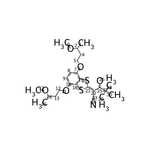 COC(C)CCOc1ccc(OCCC(C)OC)c2c1SC(=C(C#N)C(=O)C(C)(C)C)S2